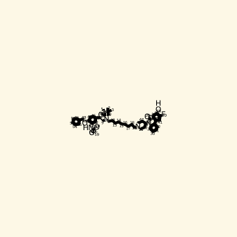 CC(C)(C)[Si](C)(C)O[C@@H](CNCCCCCCCCCN1CCC(N(C(=O)O)c2ccccc2-c2ccc(O)c(F)c2)CC1)c1ccc(OCc2ccccc2)c(NS(C)(=O)=O)c1